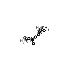 CC1(C)c2ccccc2-c2ccc(-c3nc(-c4ccccc4)cc(-c4ccc(-c5ccc6c(c5)Oc5ccc7c(c5O6)-c5ccccc5C7(C)C)cc4)n3)cc21